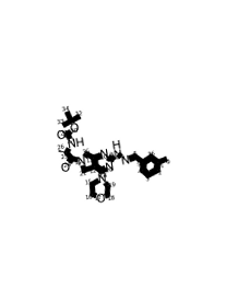 Cc1cccc(/C=N/Nc2nc3c(c(N4CCOCC4)n2)CN(C(=O)[C@H](C)NC(=O)OC(C)(C)C)C3)c1